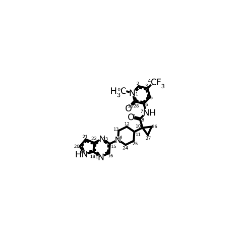 Cn1cc(C(F)(F)F)cc(NC(=O)C2(C3CCN(c4cnc5[nH]ccc5n4)CC3)CC2)c1=O